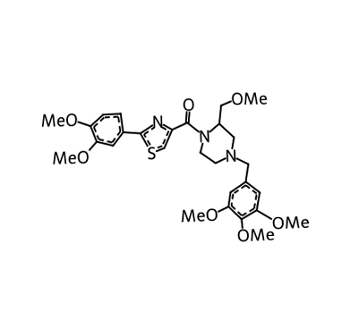 COCC1CN(Cc2cc(OC)c(OC)c(OC)c2)CCN1C(=O)c1csc(-c2ccc(OC)c(OC)c2)n1